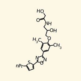 CCCc1ccc(-c2nc(-c3cc(C)c(OCC(O)CNC(=O)CO)c(C)c3)no2)s1